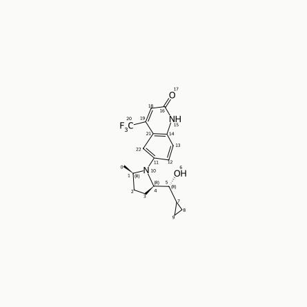 C[C@@H]1CC[C@H]([C@H](O)C2CC2)N1c1ccc2[nH]c(=O)cc(C(F)(F)F)c2c1